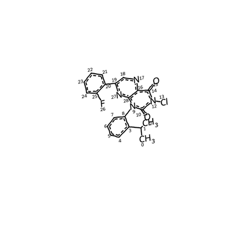 CC(C)c1ccccc1-n1c(=O)n(Cl)c(=O)c2ncc(-c3ccccc3F)nc21